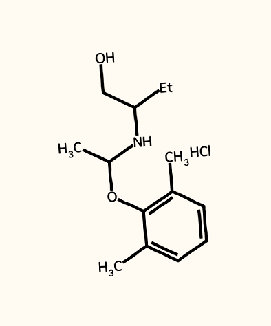 CCC(CO)NC(C)Oc1c(C)cccc1C.Cl